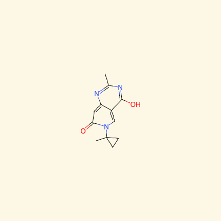 Cc1nc(O)c2cn(C3(C)CC3)c(=O)cc2n1